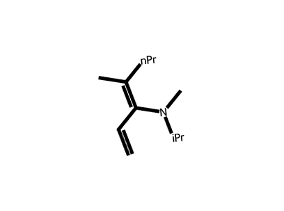 C=C/C(=C(\C)CCC)N(C)C(C)C